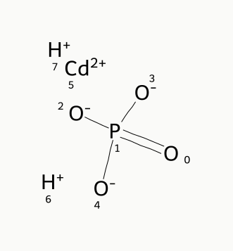 O=P([O-])([O-])[O-].[Cd+2].[H+].[H+]